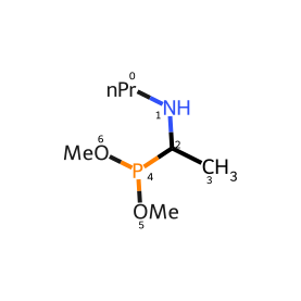 CCCNC(C)P(OC)OC